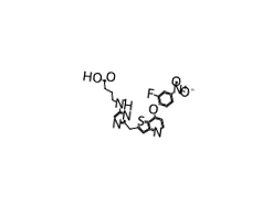 CN(CCCC(=O)O)c1cnc(Cc2cc3nccc(Oc4ccc([N+](=O)[O-])cc4F)c3s2)[nH]1